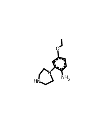 CCOc1ccc(N)c(N2CCNCC2)c1